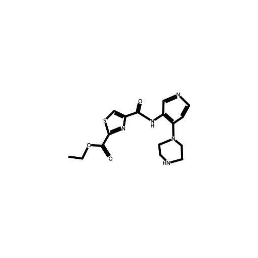 CCOC(=O)c1nc(C(=O)Nc2cnccc2N2CCNCC2)cs1